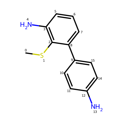 CSc1c(N)cccc1-c1ccc(N)cc1